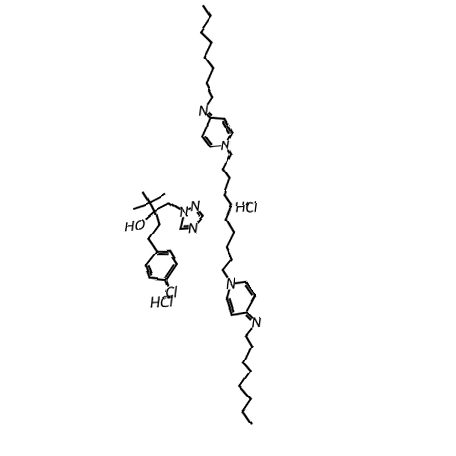 CC(C)(C)C(O)(CCc1ccc(Cl)cc1)Cn1cncn1.CCCCCCCCN=c1ccn(CCCCCCCCCCn2ccc(=NCCCCCCCC)cc2)cc1.Cl.Cl